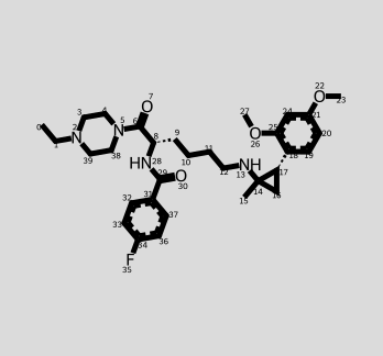 CCN1CCN(C(=O)[C@H](CCCCNC2(C)C[C@H]2c2ccc(OC)cc2OC)NC(=O)c2ccc(F)cc2)CC1